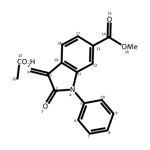 C=C1C(=O)N(c2ccccc2)c2cc(C(=O)OC)ccc21.CC(=O)O